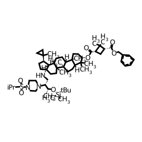 CC(C)S(=O)(=O)N1CCN([C@H](CN[C@]23CC[C@@H](C4(C)CC4)[C@@H]2[C@H]2CC[C@@H]4[C@@]5(C)CC[C@H](OC(=O)[C@H]6C[C@@H](C(=O)OCc7ccccc7)C6(C)C)C(C)(C)[C@@H]5CC[C@@]4(C)[C@]2(C)CC3)[C@@H](C)O[Si](C)(C)C(C)(C)C)CC1